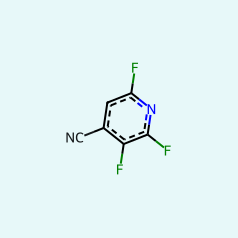 N#Cc1cc(F)nc(F)c1F